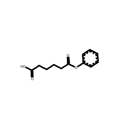 O=C(O)CCCCC(=O)Oc1ccccc1